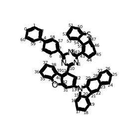 c1ccc(-c2ccc(-c3nc(-c4cc(-n5c6ccccc6c6cc7ccccc7cc65)cc5oc6ccccc6c45)nc(-c4cccc5sc6ccccc6c45)n3)cc2)cc1